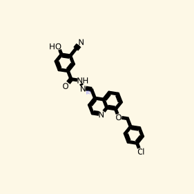 N#Cc1cc(C(=O)N/N=C/c2ccnc3c(OCc4ccc(Cl)cc4)cccc23)ccc1O